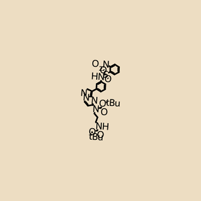 CC(C)(C)OC(=O)NCCCN(C(=O)OC(C)(C)C)c1ccn2ncc(-c3cccc(NS(=O)(=O)c4ccccc4[N+](=O)[O-])c3)c2n1